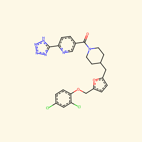 O=C(c1ccc(-c2nnn[nH]2)nc1)N1CCC(Cc2ccc(COc3ccc(Cl)cc3Cl)o2)CC1